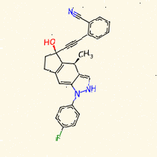 C[C@H]1C2=CNN(c3ccc(F)cc3)C2=CC2=C1[C@@](O)(C#Cc1ccccc1C#N)CC2